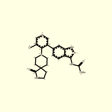 COC(=O)Nc1n[nH]c2cc(-c3cncc(Cl)c3N3CCC4(CCNC4=O)CC3)ccc12